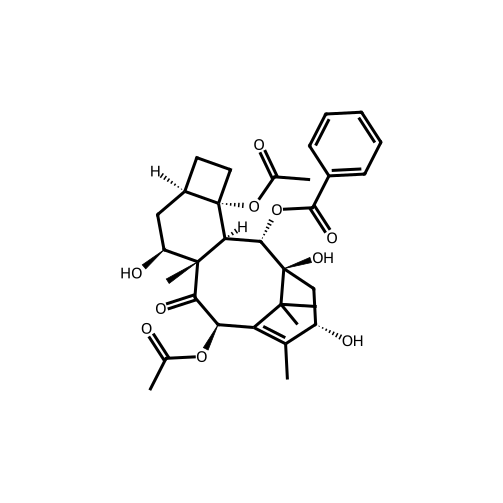 CC(=O)O[C@H]1C(=O)[C@@]2(C)[C@H]([C@H](OC(=O)c3ccccc3)[C@]3(O)C[C@H](O)C(C)=C1C3(C)C)[C@]1(OC(C)=O)CC[C@@H]1C[C@@H]2O